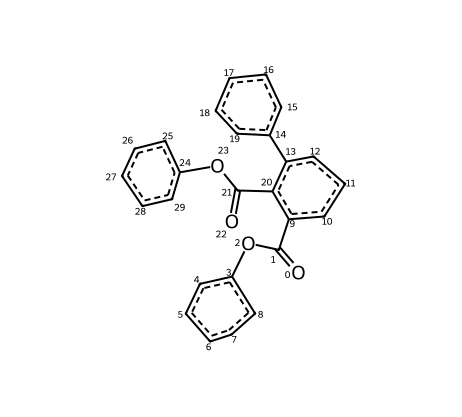 O=C(Oc1ccccc1)c1cccc(-c2ccccc2)c1C(=O)Oc1ccccc1